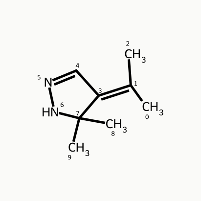 CC(C)=C1C=NNC1(C)C